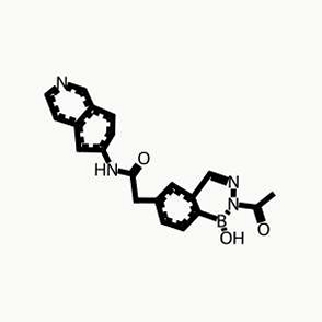 CC(=O)N1N=Cc2cc(CC(=O)Nc3ccc4cnccc4c3)ccc2B1O